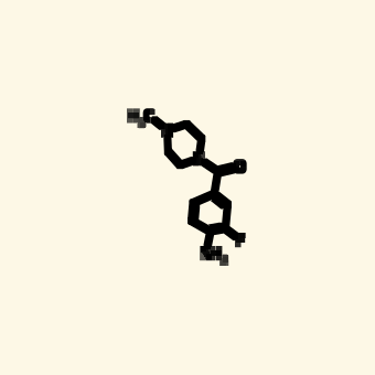 CN1CCN(C(=O)c2ccc(N)c(F)c2)CC1